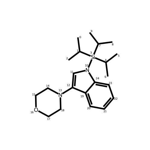 CC(C)[Si](C(C)C)(C(C)C)n1cc(N2CCOCC2)c2ccccc21